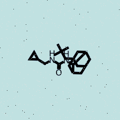 CC(C)(C)CC12CC3CC(C1)C(NC(=O)NCC1CC1)C(C3)C2